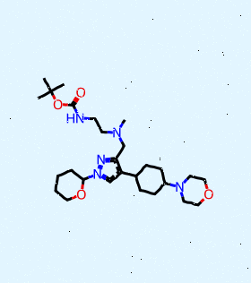 CN(CCNC(=O)OC(C)(C)C)Cc1nn(C2CCCCO2)cc1C1CCC(N2CCOCC2)CC1